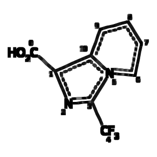 O=C(O)c1nc(C(F)(F)F)n2ccccc12